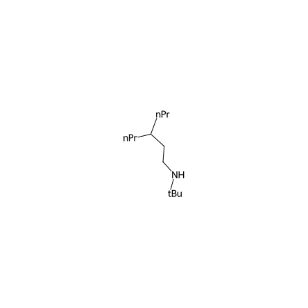 CCCC(CCC)CCNC(C)(C)C